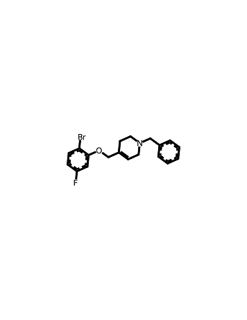 Fc1ccc(Br)c(OCC2=CCN(Cc3ccccc3)CC2)c1